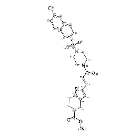 CC(C)(C)OC(=O)N1CCc2sc(C=CC(=O)N3CCN(S(=O)(=O)c4ccc5cc(Cl)ccc5c4)CC3)cc2C1